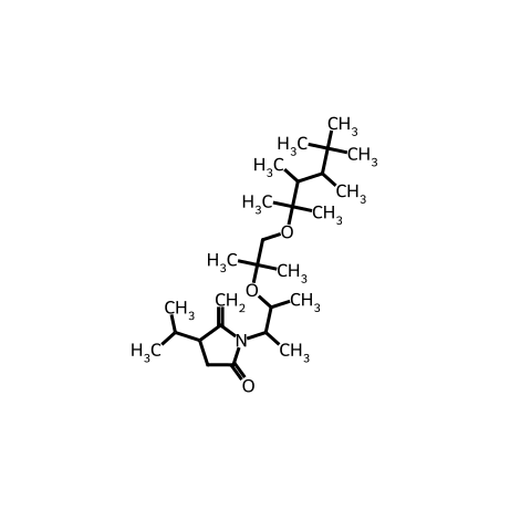 C=C1C(C(C)C)CC(=O)N1C(C)C(C)OC(C)(C)COC(C)(C)C(C)C(C)C(C)(C)C